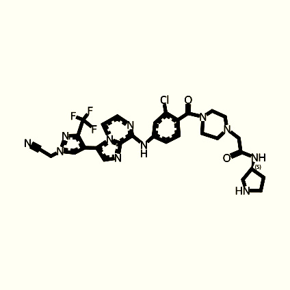 N#CCn1cc(-c2cnc3c(Nc4ccc(C(=O)N5CCN(CC(=O)N[C@H]6CCNC6)CC5)c(Cl)c4)nccn23)c(C(F)(F)F)n1